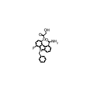 NC(=O)c1cccc2c1c1c(OC(=O)CO)ccc(F)c1n2Cc1ccccc1